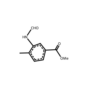 COC(=O)c1ccc(C)c(NC=O)c1